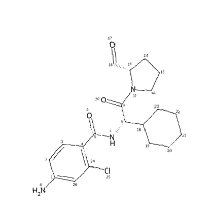 Nc1ccc(C(=O)N[C@H](C(=O)N2CCC[C@H]2C=O)C2CCCCC2)c(Cl)c1